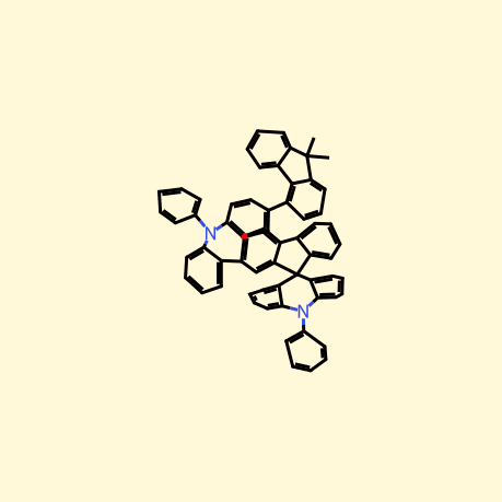 CC1(C)c2ccccc2-c2c(-c3ccc(N(c4ccccc4)c4ccccc4-c4ccc5c(c4)C4(c6ccccc6-5)c5ccccc5N(c5ccccc5)c5ccccc54)cc3)cccc21